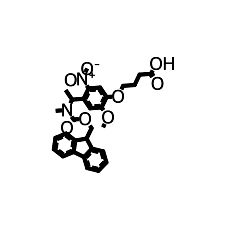 COc1cc(C(C)N(C)C(=O)OCC2c3ccccc3-c3ccccc32)c([N+](=O)[O-])cc1OCCCC(=O)O